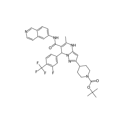 CC1=C(C(=O)Nc2ccc3cnccc3c2)C(c2ccc(C(F)(F)F)c(F)c2)n2nc(C3CCN(C(=O)OC(C)(C)C)CC3)cc2N1